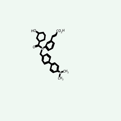 CN(C)c1ccc(-c2ccc(CN(C(=O)C3CCCC(O)C3)c3cccc(C=CC(=O)O)c3)cc2)cc1